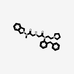 CN(C(=O)CNCC(=O)N(CCN1CCCC1)c1ccccc1Cc1ccccc1)N1Cc2ccccc2C1